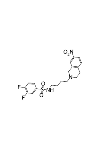 O=[N+]([O-])c1ccc2c(c1)CN(CCCCNS(=O)(=O)c1ccc(F)c(F)c1)CC2